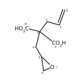 C=CCC(CC1CO1)(C(=O)O)C(=O)O